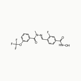 CN(N=Cc1ccc(C(=O)NO)cc1F)C(=O)c1cccc(OC(F)(F)F)c1